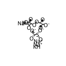 O=S(=O)([O-])OOS(=O)(=O)[O-].O=S([O-])S(=O)[O-].[KH].[Na+].[Na+].[Na+].[Na+]